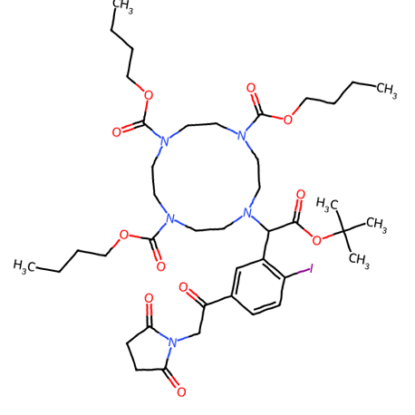 CCCCOC(=O)N1CCN(C(=O)OCCCC)CCN(C(C(=O)OC(C)(C)C)c2cc(C(=O)CN3C(=O)CCC3=O)ccc2I)CCN(C(=O)OCCCC)CC1